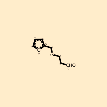 O=CCCSCc1ccco1